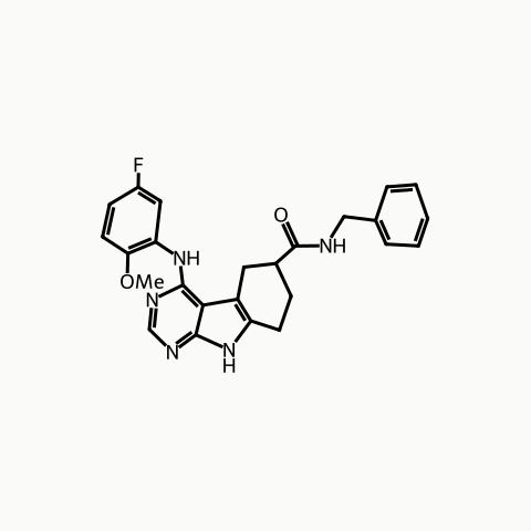 COc1ccc(F)cc1Nc1ncnc2[nH]c3c(c12)CC(C(=O)NCc1ccccc1)CC3